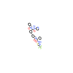 O=C(Nc1cccnc1)[C@@H](c1cccc(-c2ccc3c(c2)CN([C@@H](C(=O)Nc2nc(C(F)(F)F)cs2)c2ccccc2)C3=O)c1)N1Cc2ccccc2C1=O